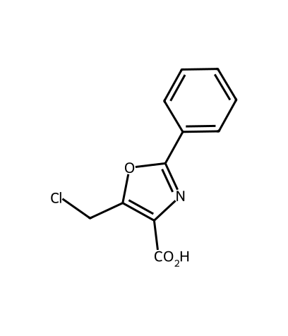 O=C(O)c1nc(-c2ccccc2)oc1CCl